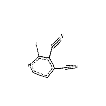 N#Cc1ccnc(I)c1C#N